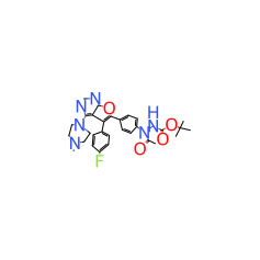 CC(=O)N(NC(=O)OC(C)(C)C)c1ccc(-c2oc3ncnc(N4CCN(C)CC4)c3c2-c2ccc(F)cc2)cc1